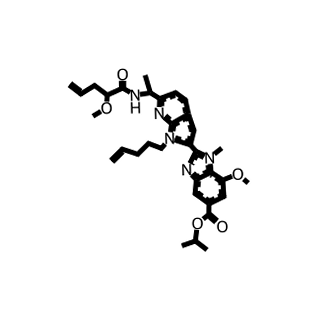 C=CCCCn1c(-c2nc3cc(C(=O)OC(C)C)cc(OC)c3n2C)cc2ccc(C(C)NC(=O)C(CC=C)OC)nc21